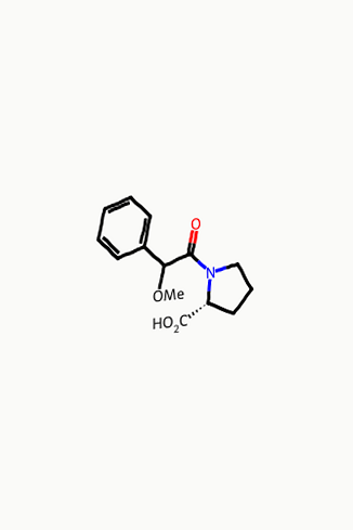 COC(C(=O)N1CCC[C@@H]1C(=O)O)c1ccccc1